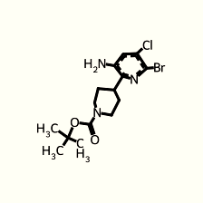 CC(C)(C)OC(=O)N1CCC(c2nc(Br)c(Cl)cc2N)CC1